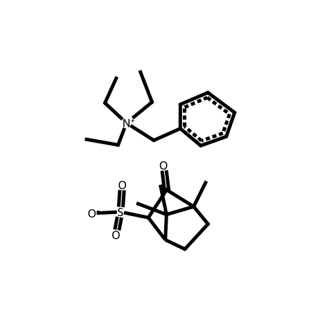 CC12CCC(C(S(=O)(=O)[O-])C1=O)C2(C)C.CC[N+](CC)(CC)Cc1ccccc1